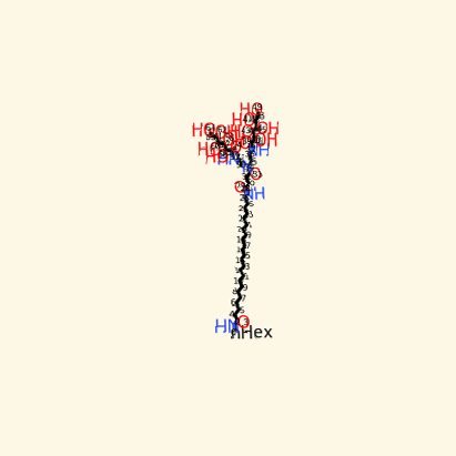 CCCCCCNC(=O)CCCCCCCCCCCCCCCCCCCCCCCNC(=O)CCC(=O)N(CCNC(=O)[C@@H](O)[C@H](O)[C@@H](O)[C@H](O)CO)CCNC(=O)[C@H](O)[C@@H](O)[C@H](O)[C@@H](O)CO